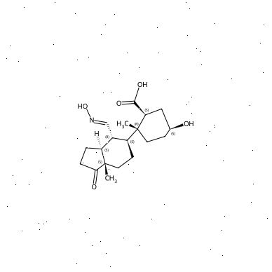 C[C@]1([C@H]2CC[C@]3(C)C(=O)CC[C@H]3[C@@H]2C=NO)CC[C@H](O)C[C@@H]1C(=O)O